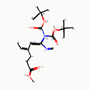 C=N/C(=C\C(=C/C)CCC(=O)OC)N(C(=O)OC(C)(C)C)C(=O)OC(C)(C)C